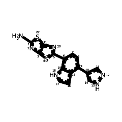 Nc1nc2sc(-c3ccc(-c4cn[nH]c4)c4cc[nH]c34)nc2s1